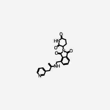 C=C(Cc1cccnc1)NCc1cccc2c1C(=O)N(C1CCC(=O)NC1=O)C2=O